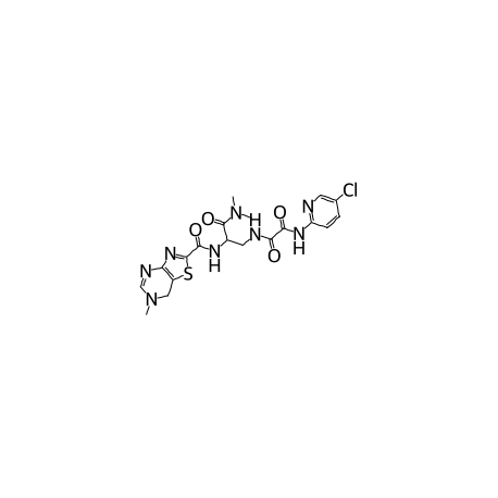 CN1C=Nc2nc(C(=O)NC(CNC(=O)C(=O)Nc3ccc(Cl)cn3)C(=O)N(C)C)sc2C1